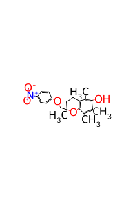 Cc1c(C)c2c(c(C)c1O)CCC(C)(COc1ccc([N+](=O)[O-])cc1)O2